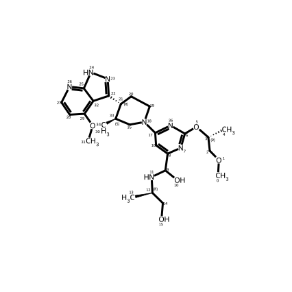 COC[C@@H](C)Oc1nc(C(O)N[C@H](C)CO)cc(N2CC[C@@H](c3n[nH]c4nccc(OC)c34)[C@H](C)C2)n1